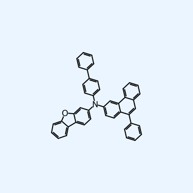 c1ccc(-c2ccc(N(c3ccc4c(c3)oc3ccccc34)c3ccc4c(-c5ccccc5)cc5ccccc5c4c3)cc2)cc1